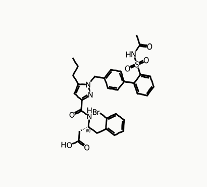 CCCc1cc(C(=O)N[C@@H](CC(=O)O)Cc2ccccc2Br)nn1Cc1ccc(-c2ccccc2S(=O)(=O)NC(C)=O)cc1